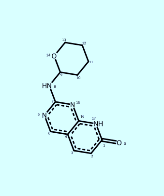 O=c1ccc2cnc(NC3CCCCO3)nc2[nH]1